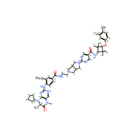 CC[C@@H]1C(=O)N(C)c2cnc(Nc3ccc(C(=O)NCCN4CC5CN(c6ncc(C(=O)NC7C(C)(C)C(Oc8ccc(C#N)c(Cl)c8)C7(C)C)cn6)CC5C4)cc3OC)nc2N1C1CCCC1